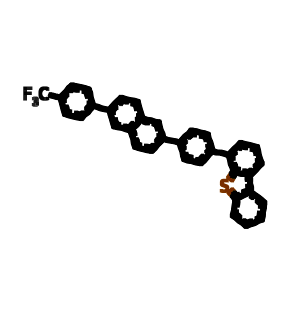 FC(F)(F)c1ccc(-c2ccc3cc(-c4ccc(-c5cccc6c5sc5ccccc56)cc4)ccc3c2)cc1